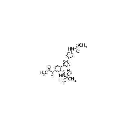 COC(=O)Nc1ccc(-c2ncc(-c3ccc(NC(C)=O)cc3SNC(C)(C)C)s2)cc1